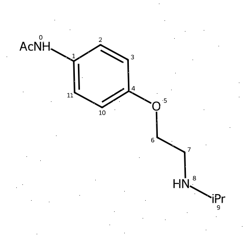 CC(=O)Nc1ccc(OCCNC(C)C)cc1